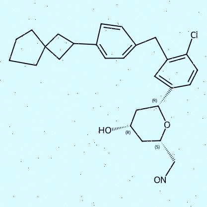 O=NC[C@@H]1C[C@H](O)C[C@H](c2ccc(Cl)c(Cc3ccc(C4CC5(CCCC5)C4)cc3)c2)O1